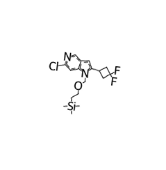 C[Si](C)(C)CCOCn1c(C2CC(F)(F)C2)cc2cnc(Cl)cc21